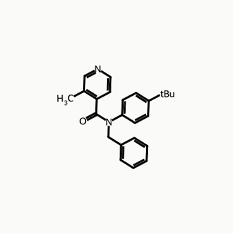 Cc1cnccc1C(=O)N(Cc1ccccc1)c1ccc(C(C)(C)C)cc1